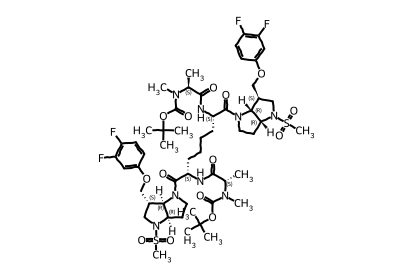 C[C@@H](C(=O)N[C@@H](CCCC[C@H](NC(=O)[C@H](C)N(C)C(=O)OC(C)(C)C)C(=O)N1CC[C@@H]2[C@H]1[C@@H](COc1ccc(F)c(F)c1)CN2S(C)(=O)=O)C(=O)N1CC[C@@H]2[C@H]1[C@@H](COc1ccc(F)c(F)c1)CN2S(C)(=O)=O)N(C)C(=O)OC(C)(C)C